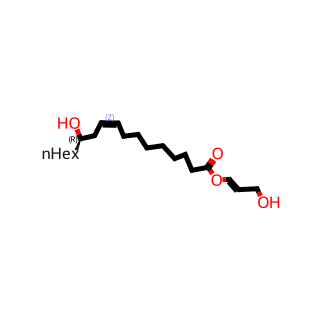 CCCCCC[C@@H](O)C/C=C\CCCCCCCC(=O)OC=CCO